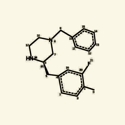 Cc1ccc(C[C@@H]2CN(Cc3ccccc3)CCN2)cc1F